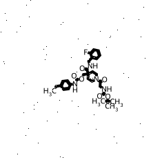 CCc1ccc(NC(=O)OCC2(C(=O)NCc3ccccc3F)CCN(C(=O)CNC(=O)OC(C)(C)C)CC2)cc1